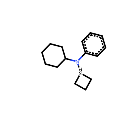 c1ccc(N(C2CCCCC2)[SiH]2CCC2)cc1